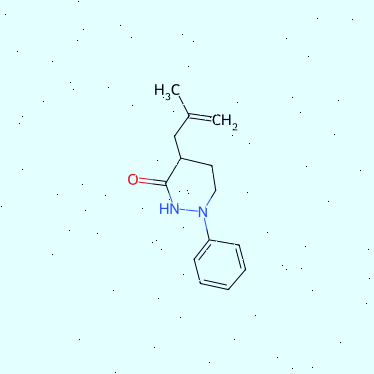 C=C(C)CC1CCN(c2ccccc2)NC1=O